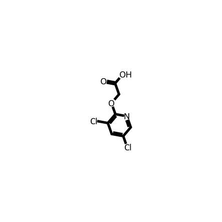 O=C(O)COc1ncc(Cl)cc1Cl